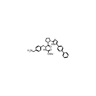 COC(=O)N[C@@H](Cc1ccc(CN)cc1)C(=O)N1CCC[C@H]1c1ncc(-c2ccc(-c3ccccc3)cc2)[nH]1